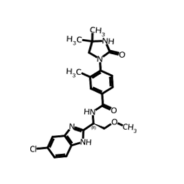 COC[C@H](NC(=O)c1ccc(N2CC(C)(C)NC2=O)c(C)c1)c1nc2cc(Cl)ccc2[nH]1